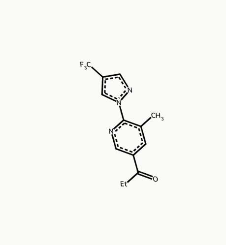 CCC(=O)c1cnc(-n2cc(C(F)(F)F)cn2)c(C)c1